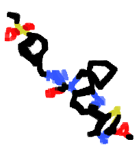 CCS(=O)(=O)c1ccc(CNC(=O)N2CC3(CCCC3)c3nc(-c4sc(OC)nc4C)ccc32)cc1